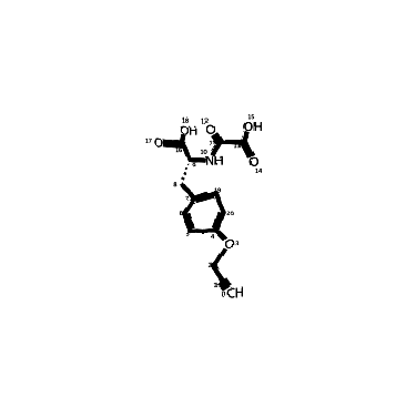 C#CCOc1ccc(C[C@@H](NC(=O)C(=O)O)C(=O)O)cc1